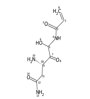 C=CC(=O)NC(O)C(=O)[C@@H](N)CC(N)=O